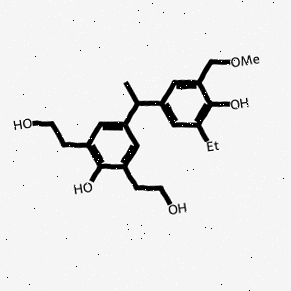 CCc1cc(C(C)c2cc(CCO)c(O)c(CCO)c2)cc(COC)c1O